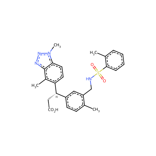 Cc1ccc([C@H](CC(=O)O)c2ccc3c(nnn3C)c2C)cc1CNS(=O)(=O)c1ccccc1C